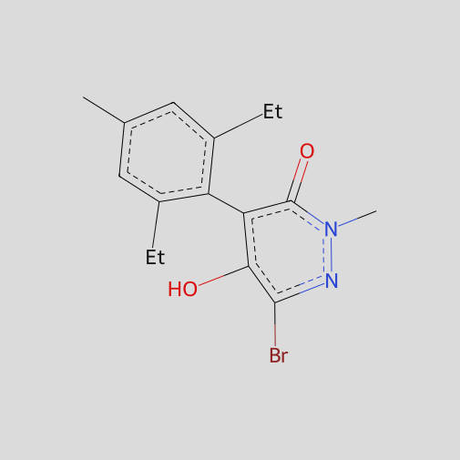 CCc1cc(C)cc(CC)c1-c1c(O)c(Br)nn(C)c1=O